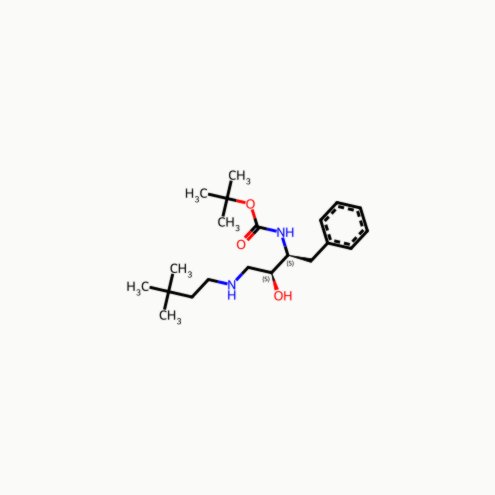 CC(C)(C)CCNC[C@H](O)[C@H](Cc1ccccc1)NC(=O)OC(C)(C)C